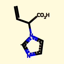 C=CC(C(=O)O)n1[c]ncc1